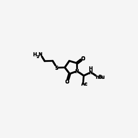 CCCCNC(C(C)=O)N1C(=O)CC(SCCN)C1=O